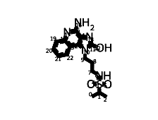 CC(C)S(=O)(=O)NCCCn1c(O)nc2c(N)nc3ccccc3c21